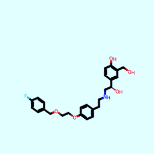 OCc1cc([C@@H](O)CNCCc2ccc(OCCOCc3ccc(F)cc3)cc2)ccc1O